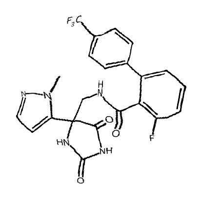 Cn1nccc1C1(CNC(=O)c2c(F)cccc2-c2ccc(C(F)(F)F)cc2)NC(=O)NC1=O